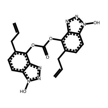 C=CCc1ccc2c(nnn2O)c1OC(=O)Oc1c(CC=C)ccc2c1nnn2O